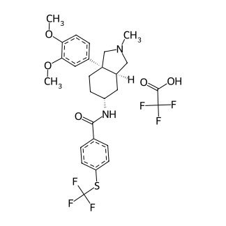 COc1ccc([C@@]23CC[C@@H](NC(=O)c4ccc(SC(F)(F)F)cc4)C[C@@H]2CN(C)C3)cc1OC.O=C(O)C(F)(F)F